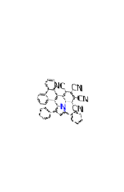 N#Cc1c(C#N)c(C#N)c2c(c1C#N)c1c3ccccc3c3ccccc3c1c1c(-c3ccccc3)cc(-c3ccccc3)n21